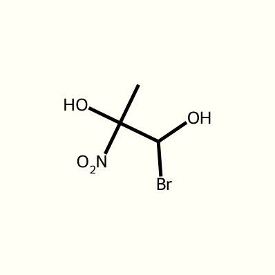 CC(O)(C(O)Br)[N+](=O)[O-]